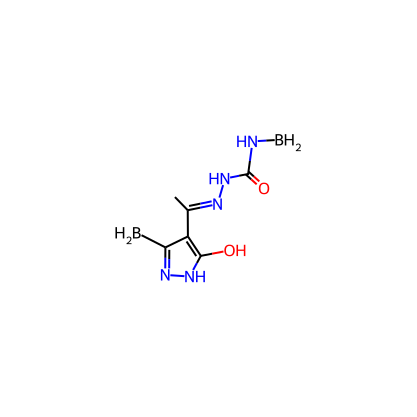 BNC(=O)N/N=C(\C)c1c(B)n[nH]c1O